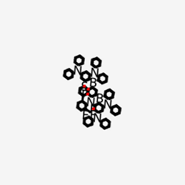 Fc1c2c(cc3c1N(c1c(-c4ccccc4)cccc1C(F)(F)F)c1cc(N(c4ccccc4)c4ccccc4)cc4c1B3c1ccccc1N4c1ccccc1)B1c3ccccc3N(c3ccccc3)c3cc(N(c4ccccc4)c4ccccc4)cc(c31)S2